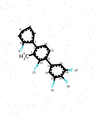 Cc1c(-c2ccccc2F)ccc(-c2cc(F)c(F)c(F)c2)c1F